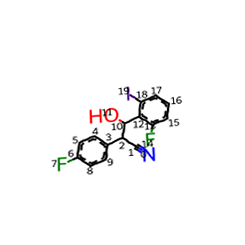 N#CC(c1ccc(F)cc1)C(O)c1c(F)cccc1I